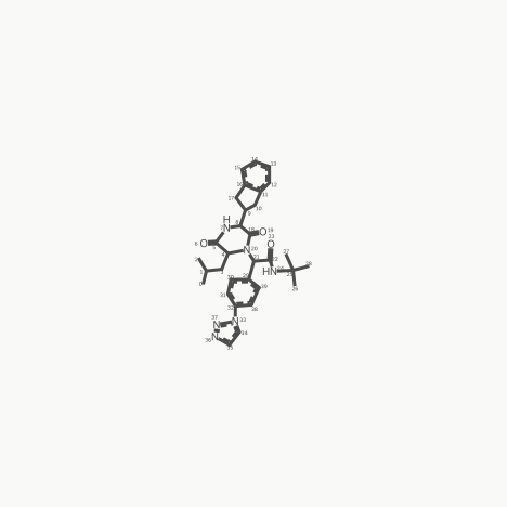 CC(C)CC1C(=O)NC(C2Cc3ccccc3C2)C(=O)N1C(C(=O)NC(C)(C)C)c1ccc(-n2ccnn2)cc1